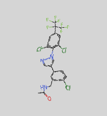 CC(=O)NCc1cc(-c2cnn(-c3c(Cl)cc(C(F)(C(F)(F)F)C(F)(F)F)cc3Cl)c2)ccc1Cl